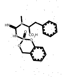 CN(C(=N)NP1(=O)OCc2ccccc2O1)C(Cc1ccccc1)C(=O)O